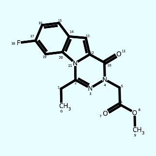 CCc1nn(CC(=O)OC)c(=O)c2cc3ccc(F)cc3n12